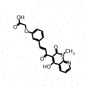 Cn1c(=O)c(C(=O)/C=C/c2cccc(OCC(=O)O)c2)c(O)c2cccnc21